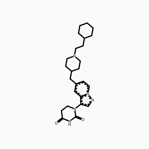 O=C1CCN(c2cnn3ccc(CC4CCN(CCC5CCCCC5)CC4)cc23)C(=O)N1